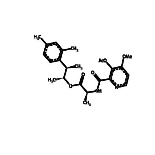 COc1ccnc(C(=O)N[C@@H](C)C(=O)O[C@H](C)[C@H](C)c2ccc(C)cc2C)c1OC(C)=O